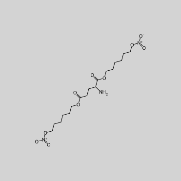 NC(CCC(=O)OCCCCCCO[N+](=O)[O-])C(=O)OCCCCCCO[N+](=O)[O-]